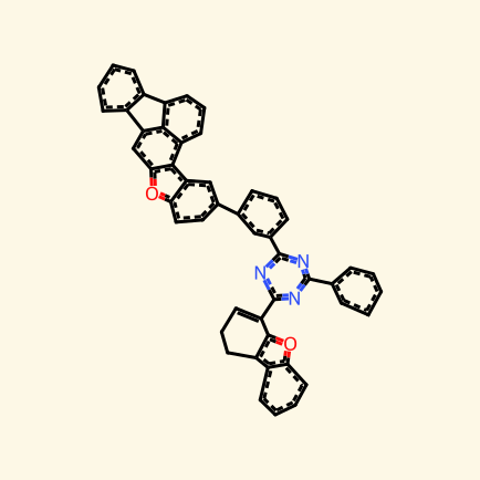 C1=C(c2nc(-c3ccccc3)nc(-c3cccc(-c4ccc5oc6cc7c8c(cccc8c6c5c4)-c4ccccc4-7)c3)n2)c2oc3ccccc3c2CC1